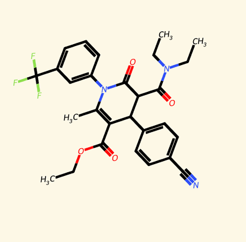 CCOC(=O)C1=C(C)N(c2cccc(C(F)(F)F)c2)C(=O)C(C(=O)N(CC)CC)C1c1ccc(C#N)cc1